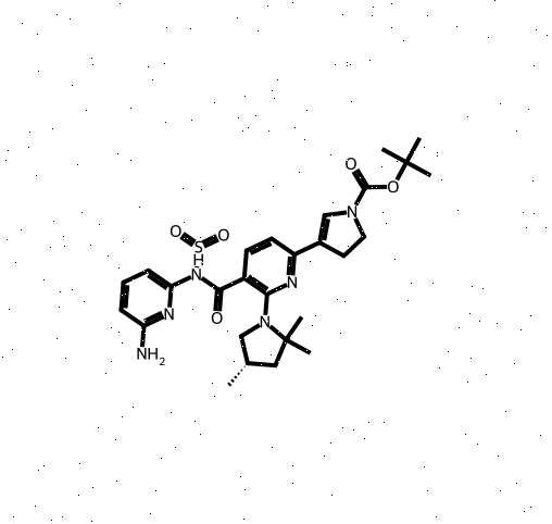 C[C@@H]1CN(c2nc(C3=CN(C(=O)OC(C)(C)C)CC3)ccc2C(=O)N(c2cccc(N)n2)[SH](=O)=O)C(C)(C)C1